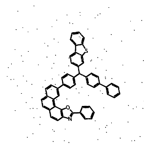 c1ccc(-c2ccc(C(c3ccc(-c4ccc5ccc6ccc7nc(-c8ccccc8)oc7c6c5c4)cc3)c3ccc4c(c3)sc3ccccc34)cc2)cc1